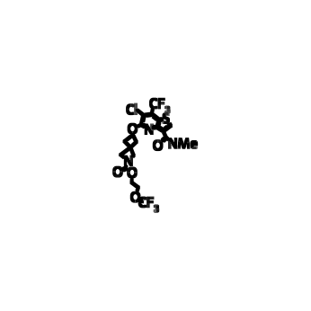 CNC(=O)c1csc2c(C(F)(F)F)c(Cl)c(OC3CC4(C3)CN(C(=O)OCCOC(F)(F)F)C4)nc12